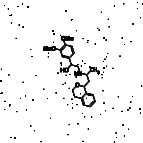 COc1ccc(C(O)CNC(C)CC2OCCc3ccccc32)cc1OC